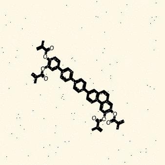 C=C(C)C(=O)Oc1ccc(-c2ccc(-c3ccc(-c4ccc5c(ccc6cc(OC(=O)C(=C)C)c(OC(=O)C(=C)C)cc65)c4)cc3)cc2)cc1OC(=O)C(=C)C